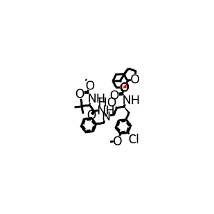 COC(=O)N[C@H](C(=O)NN(Cc1ccccc1)C[C@@H](O)[C@H](Cc1ccc(OC)c(Cl)c1)NC(=O)OC1C2COC3OCC1C3C2)C(C)(C)C